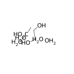 CC(=O)O.O.O.O.O.OCCO